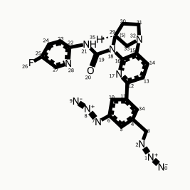 [N-]=[N+]=NCc1cc(N=[N+]=[N-])cc(-c2ccc3c(n2)N(C(=O)Nc2ccc(F)cn2)[C@H]2CCN3C2)c1